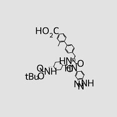 Cc1cc(C(=O)O)ccc1-c1ccc(C[C@H](NC(=O)[C@H]2CC[C@H](CNC(=O)OC(C)(C)C)CC2)C(=O)Nc2ccc3[nH]nnc3c2)cc1